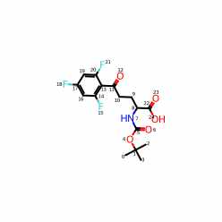 CC(C)(C)OC(=O)NC(CCC(=O)c1c(F)cc(F)cc1F)C(=O)O